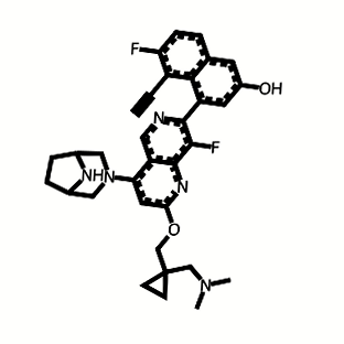 C#Cc1c(F)ccc2cc(O)cc(-c3ncc4c(N5CC6CCC(C5)N6)cc(OCC5(CN(C)C)CC5)nc4c3F)c12